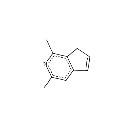 Cc1cc2c(c(C)n1)CC=C2